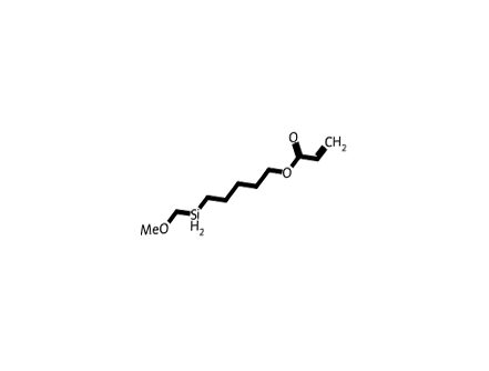 C=CC(=O)OCCCCC[SiH2]COC